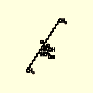 CCCCCCCCCCCCCCC(C(=O)CCCCCCCCCCCCC)C(=O)PC(O)C(O)CO